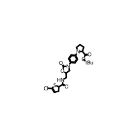 CC(C)(C)OC(=O)C1CCCN1c1ccc(N2CC(CNC(=O)C3CC=C(Cl)S3)OC2=O)cc1